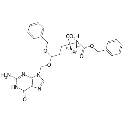 CC(C)[C@](CCC(OCc1ccccc1)OCn1cnc2c(=O)[nH]c(N)nc21)(NC(=O)OCc1ccccc1)C(=O)O